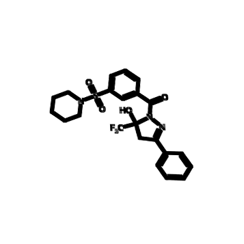 O=C(c1cccc(S(=O)(=O)N2CCCCC2)c1)N1N=C(c2ccccc2)CC1(O)C(F)(F)F